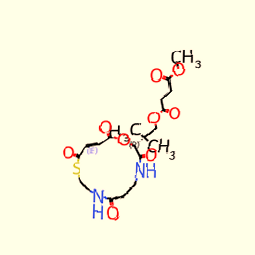 COC(=O)CCC(=O)OCC(C)(C)[C@H]1OC(=O)/C=C/C(=O)SCCNC(=O)CCNC1=O